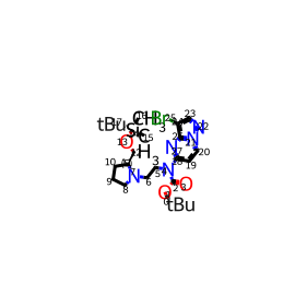 CC(C)(C)OC(=O)N(CCN1CCC[C@H]1CO[Si](C)(C)C(C)(C)C)c1ccn2ncc(Br)c2n1